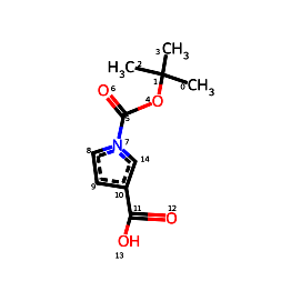 CC(C)(C)OC(=O)n1ccc(C(=O)O)c1